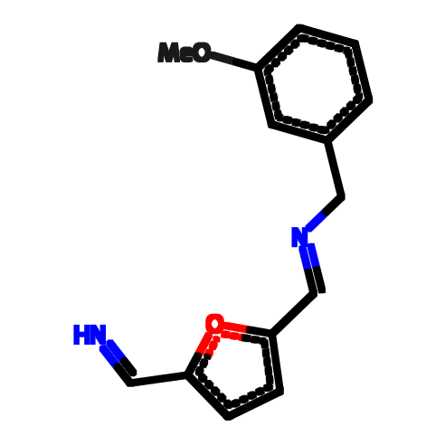 COc1cccc(C/N=C/c2ccc(C=N)o2)c1